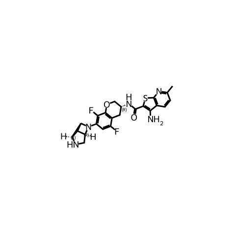 Cc1ccc2c(N)c(C(=O)N[C@H]3COc4c(F)c(N5C6C7[C@H]6NC[C@@H]75)cc(F)c4C3)sc2n1